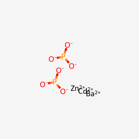 [Ba+2].[Cd+2].[O-]P([O-])[O-].[O-]P([O-])[O-].[Zn+2]